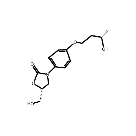 C[C@H](O)CCOc1ccc(N2C[C@H](CO)OC2=O)cc1